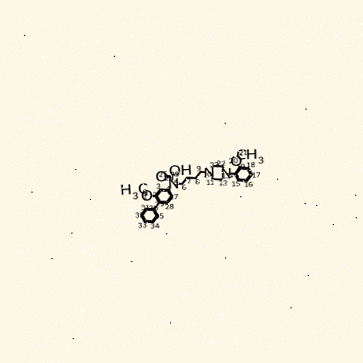 COc1cc(N(CCCCN2CCN(c3ccccc3OC)CC2)C(=O)O)ccc1-c1ccccc1